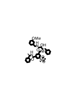 COc1cccc(CNC[C@H](O)[C@H](Cc2ccccc2)NC(=O)c2cc(C(=O)N[C@H](C)c3ccccc3)cc(N(C)S(C)(=O)=O)c2)c1